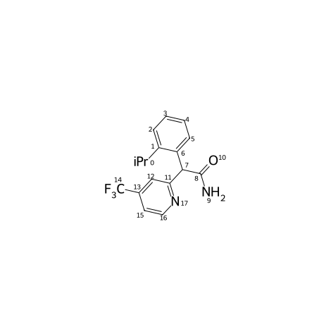 CC(C)c1ccccc1C(C(N)=O)c1cc(C(F)(F)F)ccn1